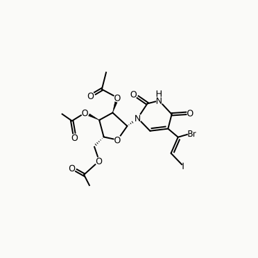 CC(=O)OC[C@H]1O[C@@H](n2cc(C(Br)=CI)c(=O)[nH]c2=O)[C@H](OC(C)=O)[C@@H]1OC(C)=O